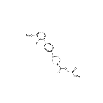 CNC(=O)COC(=O)N1CCN(c2ccc(-c3cccc(OC)c3F)cc2)CC1